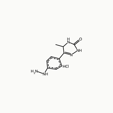 CC1NC(=O)NN=C1c1ccc(NN)cc1.Cl